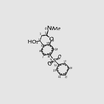 CNC1CC(O)c2ccc(S(=O)(=O)c3ccccc3)cc2O1